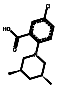 C[C@@H]1C[C@@H](C)CN(c2ccc(Cl)cc2C(=O)O)C1